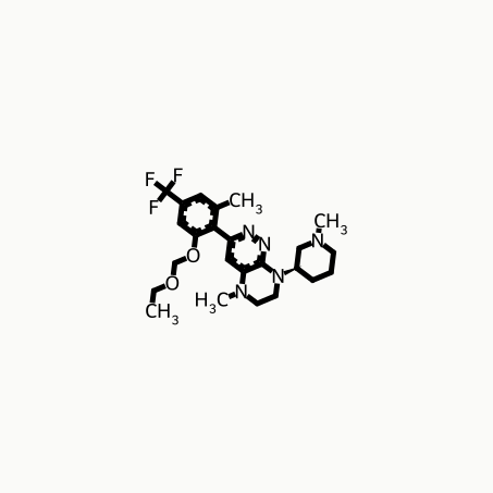 CCOCOc1cc(C(F)(F)F)cc(C)c1-c1cc2c(nn1)N([C@@H]1CCCN(C)C1)CCN2C